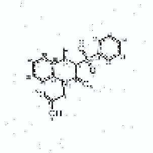 O=C(O)CN1C(=O)C(S(=O)(=O)c2ccccc2)Nc2ccccc21